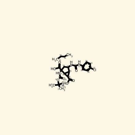 CC(C)(C)OC(=O)NC1(C(=O)O)CC(NC(=O)Nc2ccc(Cl)cc2)C2C(C(=O)O)C21.CCCC